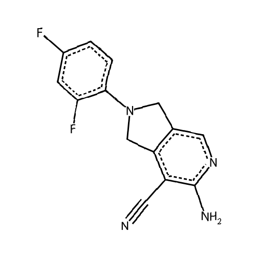 N#Cc1c(N)ncc2c1CN(c1ccc(F)cc1F)C2